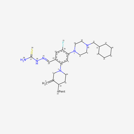 C=C1CN(c2cc(N3CCN(CC4CCCCC4)CC3)c(F)cc2/C=N/NC(N)=S)CCC1CCCCC